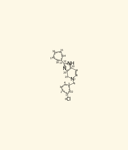 Clc1cccc(CN2C=Cc3[nH]c(-c4ccccc4)nc3C2)c1